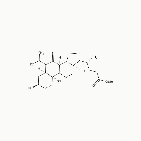 COC(=O)CC[C@@H](C)[C@H]1CCC2[C@@H]3C(=O)C(C(C)O)[C@@H]4C[C@H](O)CC[C@]4(C)C3CC[C@@]21C